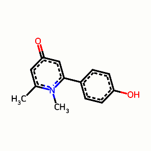 Cc1cc(=O)cc(-c2ccc(O)cc2)n1C